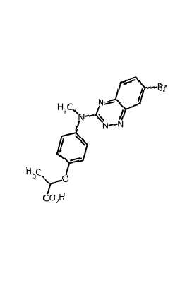 CC(Oc1ccc(N(C)c2nnc3cc(Br)ccc3n2)cc1)C(=O)O